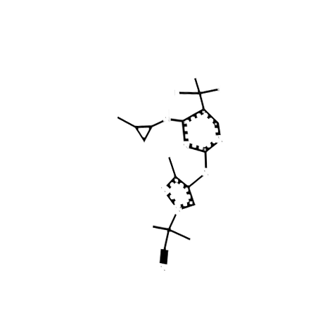 Cc1nn(C(C)(C)C#N)cc1Nc1ncc(C(F)(F)F)c(NC2CC2F)n1